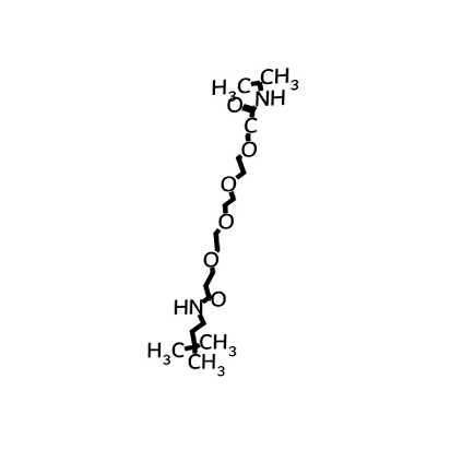 CC(C)NC(=O)CCOCCOCCOCCOCCC(=O)NCCC(C)(C)C